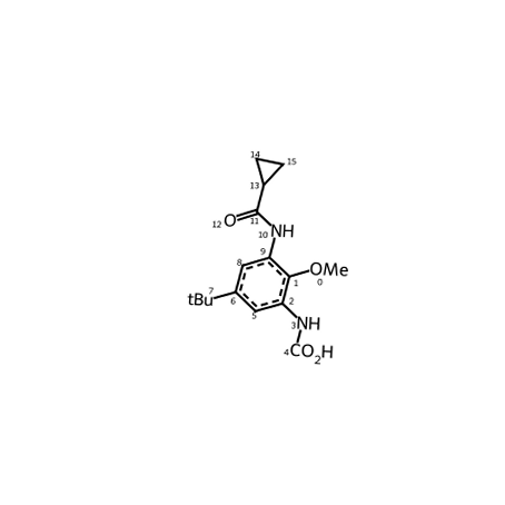 COc1c(NC(=O)O)cc(C(C)(C)C)cc1NC(=O)C1CC1